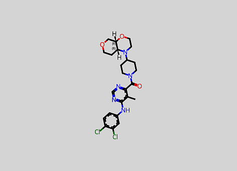 Cc1c(Nc2ccc(Cl)c(Cl)c2)ncnc1C(=O)N1CCC(N2CCO[C@H]3COCC[C@H]32)CC1